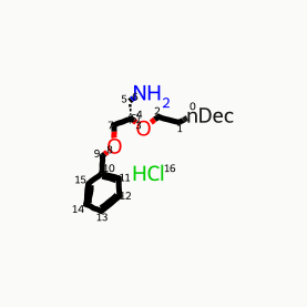 CCCCCCCCCCCCO[C@@H](CN)COCc1ccccc1.Cl